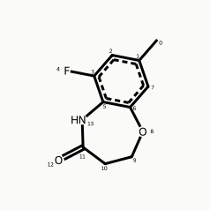 Cc1cc(F)c2c(c1)OCCC(=O)N2